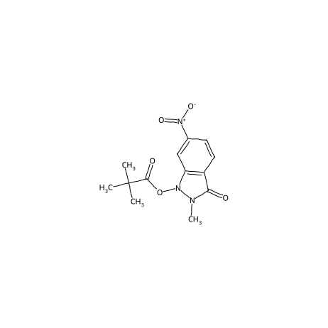 Cn1c(=O)c2ccc([N+](=O)[O-])cc2n1OC(=O)C(C)(C)C